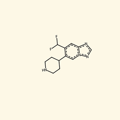 FC(F)c1cc2ncnn2cc1C1CCNCC1